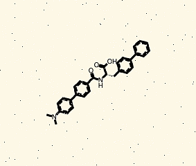 CN(C)c1ccc(-c2ccc(C(=O)N[C@@H](Cc3ccc(-c4ccccc4)cc3)C(=O)O)cc2)cc1